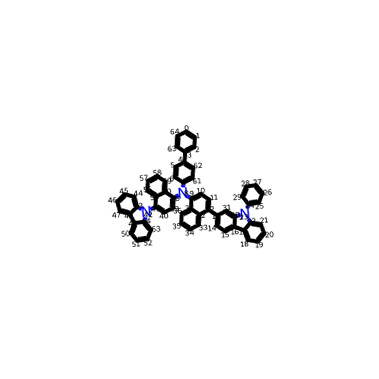 c1ccc(-c2ccc(N(c3ccc(-c4ccc5c6ccccc6n(-c6ccccc6)c5c4)c4ccccc34)c3ccc(-n4c5ccccc5c5ccccc54)c4ccccc34)cc2)cc1